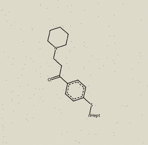 CCCCCCCSc1ccc(C(=O)CCN2CCCCC2)cc1